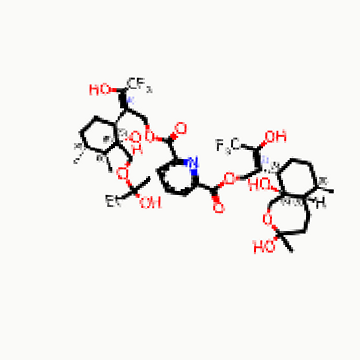 CCC(C)(O)OC[C@]1(O)[C@H](/C(COC(=O)c2cccc(C(=O)OC/C(=C(/O)C(F)(F)F)[C@@H]3CC[C@@H](C)[C@@H]4CCC(C)(O)OC[C@]34O)n2)=C(\O)C(F)(F)F)CC[C@@H](C)[C@@H]1C